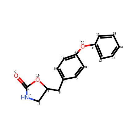 O=C1NCC(Cc2ccc(Oc3ccccc3)cc2)O1